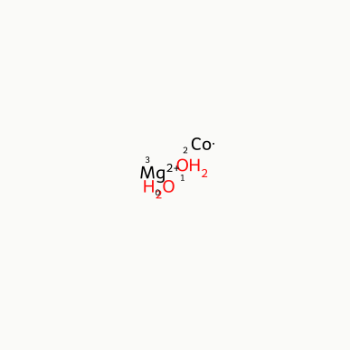 O.O.[Co].[Mg+2]